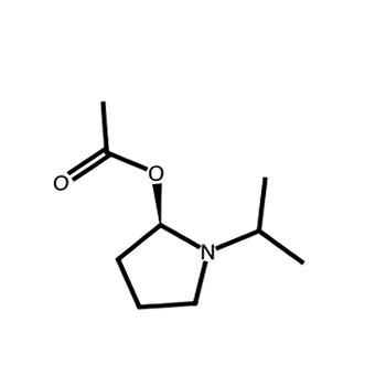 CC(=O)O[C@@H]1CCCN1C(C)C